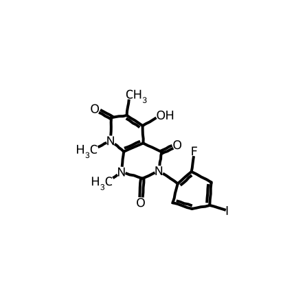 Cc1c(O)c2c(=O)n(-c3ccc(I)cc3F)c(=O)n(C)c2n(C)c1=O